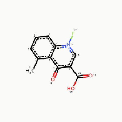 Cc1cccc2c1c(=O)c(C(=O)O)cn2F